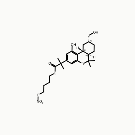 CC(C)(C(=O)OCCCCO[N+](=O)[O-])c1cc(O)c2c(c1)OC(C)(C)[C@@H]1CC[C@@H](CO)C[C@@H]21